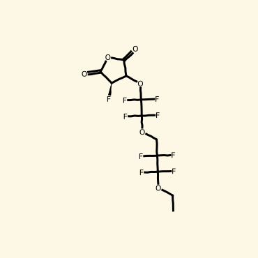 CCOC(F)(F)C(F)(F)COC(F)(F)C(F)(F)OC1C(=O)OC(=O)[C@@H]1F